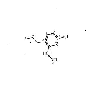 CCCc1ccc(Cl)cc1NN